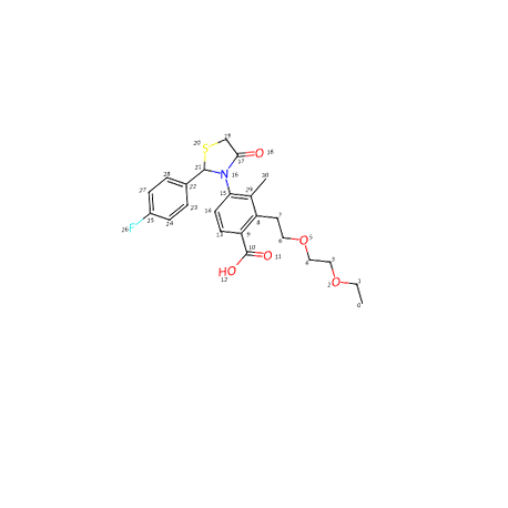 CCOCCOCCc1c(C(=O)O)ccc(N2C(=O)CSC2c2ccc(F)cc2)c1C